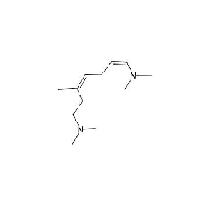 C/C(=C/C/C=C\N(C)C)CCN(C)C